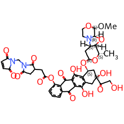 CO[C@H]1OCCN2[C@@H]1O[C@@H]1[C@H](C)O[C@@H](O[C@H]3C[C@](O)(C(=O)CO)Cc4c(O)c5c(c(O)c43)C(=O)c3c(OC(=O)CC4CC(=O)N(CN6C(=O)C=CC6=O)C4=O)cccc3C5=O)C[C@@H]12